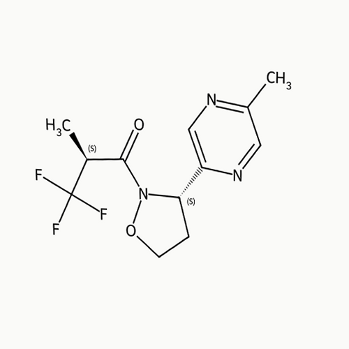 Cc1cnc([C@@H]2CCON2C(=O)[C@H](C)C(F)(F)F)cn1